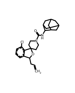 C=CCC1OC2(CCN(C(=O)NC3C4CC5CC(C4)CC3C5)CC2)c2c(Cl)cccc21